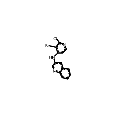 Clc1nccc(Nc2cnc3ccccc3c2)c1Br